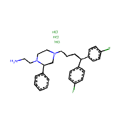 Cl.Cl.Cl.NCCN1CCN(CCCC(c2ccc(F)cc2)c2ccc(F)cc2)CC1c1ccccc1